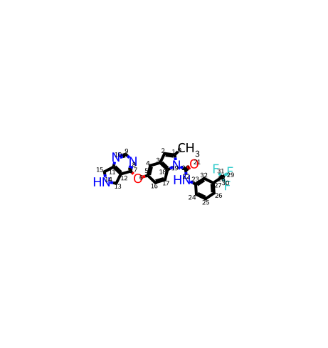 Cc1cc2cc(Oc3ncnc4c3CNC4)ccc2n1C(=O)Nc1cccc(C(F)(F)F)c1